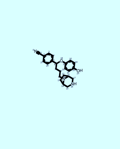 N#Cc1ccc(C(CCCN2C3CCC2CNC3)Oc2ccc(O)cc2)cc1